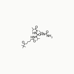 CC(C)C(=O)[C@H](CCCNC(N)=O)NC(=O)[C@@H](NC(=O)CCCCC(=O)C(C)(C)C)C(C)C